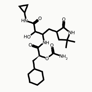 CC1(C)CC(CC(NC(=O)[C@H](CC2CCCCC2)OC(N)=O)C(O)C(=O)NC2CC2)C(=O)N1